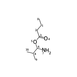 CCCC(=O)OC(N)C(C)C